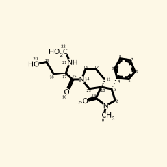 CN1C[C@@H](c2ccccc2)[C@@]2(CCCN(C(=O)[C@@H](CCO)NC(=O)O)C2)C1=O